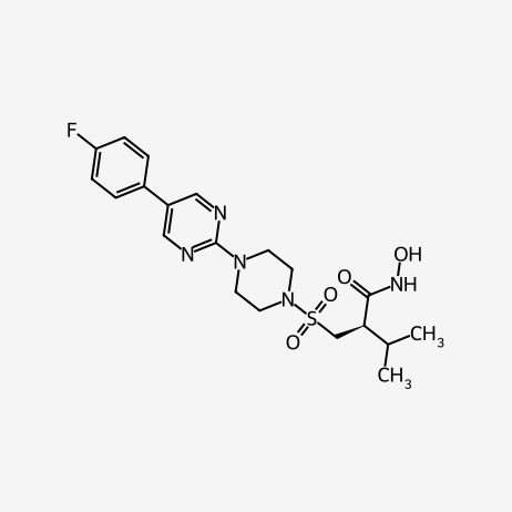 CC(C)[C@@H](CS(=O)(=O)N1CCN(c2ncc(-c3ccc(F)cc3)cn2)CC1)C(=O)NO